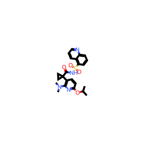 CC(C)Oc1ccc(C2(C(=O)NS(=O)(=O)c3cccc4ncccc34)CC2)c(N(C)C)n1